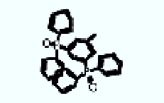 Cc1cc(P(=O)(c2ccccc2)c2ccccc2)cc(P(=O)(c2ccccc2)c2ccccc2)c1